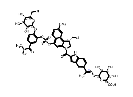 CCCN(C)C(=O)c1ccc(O[C@@H]2O[C@H](CO)[C@@H](O)[C@H](O)[C@H]2O)c(OS(=O)(=O)Oc2cc3c(c4cc(OC)ccc24)[C@H](CCl)CN3C(=O)c2cc3cc(/C(C)=N/O[C@@H]4O[C@H](C(=O)O)[C@@H](O)[C@H](O)[C@H]4O)ccc3[nH]2)c1